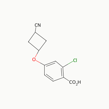 N#CC1CC(Oc2ccc(C(=O)O)c(Cl)c2)C1